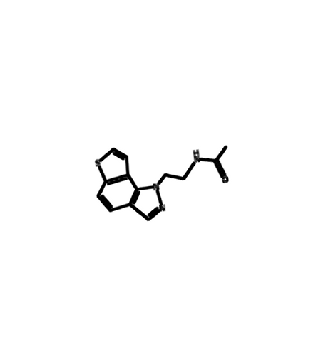 CC(=O)NCCn1ncc2ccc3sccc3c21